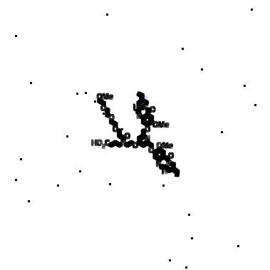 C/C=C1\C[C@H]2C=Nc3cc(OCc4cc(OCCN(CCCC(=O)O)C(=O)CCOCCOCCOCCOC)cc(COc5cc6c(cc5OC)C(=O)N5C/C(=C/C)C[C@H]5C=N6)n4)c(OC)cc3C(=O)N2C1